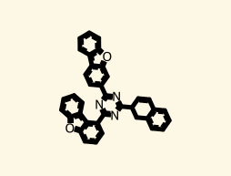 C1=CC(c2nc(-c3ccc4c(c3)oc3ccccc34)nc(-c3cccc4oc5ccccc5c34)n2)Cc2ccccc21